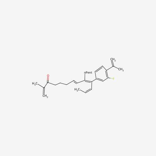 C=C(C)C(=O)CCC/C=C/C(CCCCC)=C(\C=C/C)c1ccc(C(=C)C)c(F)c1